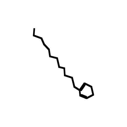 CCCCCCCCCCCCC1=CCCC=C1